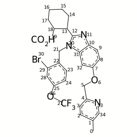 Cc1ccc(COc2ccc3nc(C4CCCCC4C(=O)O)n(Cc4ccc(OC(F)(F)F)cc4Br)c3c2)nc1